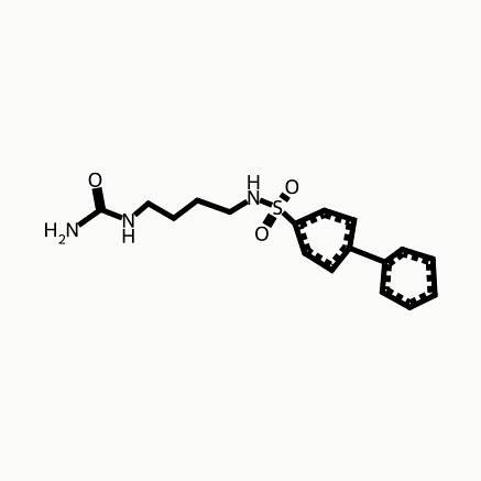 NC(=O)NCCCCNS(=O)(=O)c1ccc(-c2ccccc2)cc1